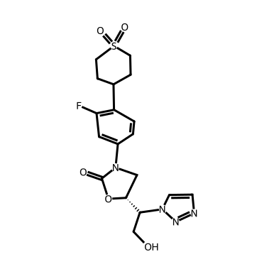 O=C1O[C@@H](C(CO)n2ccnn2)CN1c1ccc(C2CCS(=O)(=O)CC2)c(F)c1